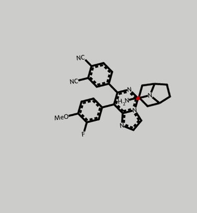 COc1ccc(-c2c(-c3ccc(C#N)c(C#N)c3)nc(N3C4CCC3CC(N)C4)n3ccnc23)cc1F